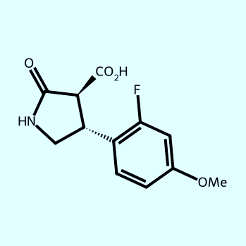 COc1ccc([C@@H]2CNC(=O)[C@H]2C(=O)O)c(F)c1